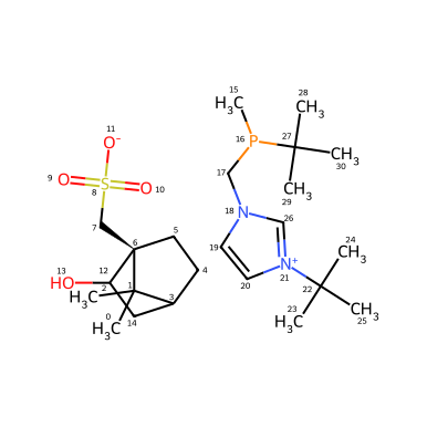 CC1(C)C2CC[C@@]1(CS(=O)(=O)[O-])C(O)C2.CP(Cn1cc[n+](C(C)(C)C)c1)C(C)(C)C